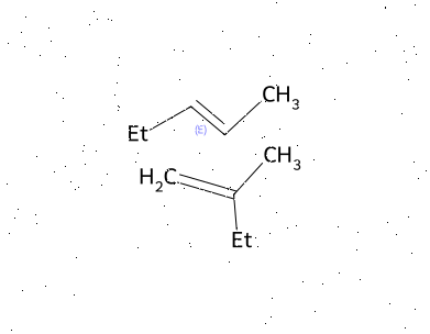 C/C=C/CC.C=C(C)CC